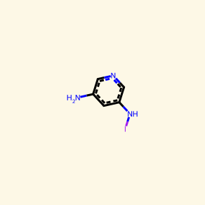 Nc1cncc(NI)c1